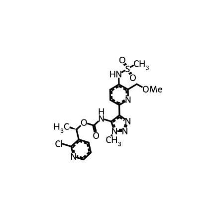 COCc1nc(-c2nnn(C)c2NC(=O)O[C@H](C)c2cccnc2Cl)ccc1NS(C)(=O)=O